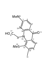 CNc1ccc2c(=O)c3ccc(C)c(SC)c3n(CC(=O)O)c2n1